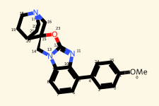 COc1ccc(-c2cccc3c2nc2n3C[C@@]3(CN4CCC3CC4)O2)cc1